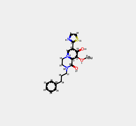 CCCCOc1c2n(cc(-c3nccs3)c1=O)CCN(CCCc1ccccc1)C2=O